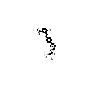 CC(=O)c1ccc(O)c(CCc2ccc(-c3nnn(COC(=O)C(C)(C)C)n3)cc2)c1